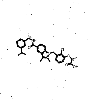 Cc1c(C)n(Cc2cccc(O[C@@H](C)C(=O)O)c2Cl)c2ccc(C(=O)N[C@@H](C)c3cccc(C(C)C)c3)cc12